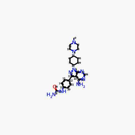 CN1CCN([C@H]2CC[C@@H](n3nc(-c4ccc(NC(N)=O)cc4)c4c(N)ncnc43)CC2)CC1